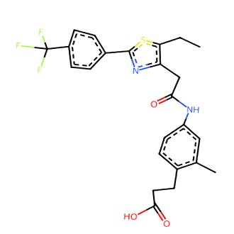 CCc1sc(-c2ccc(C(F)(F)F)cc2)nc1CC(=O)Nc1ccc(CCC(=O)O)c(C)c1